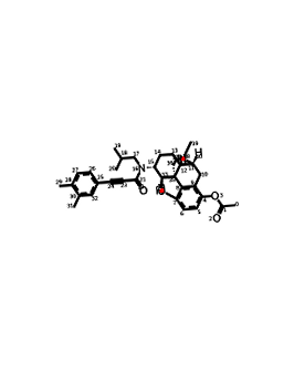 CC(=O)Oc1ccc2c3c1C[C@@H]1[C@@H]4CC[C@@H](N(CC(C)C)C(=O)C#Cc5ccc(C)c(C)c5)[C@H](O2)[C@]34CCN1C